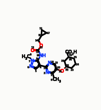 Cc1nc(-c2cnn(C)c2NC(=O)OCC2CC2)ncc1O[C@H]1CCC[C@H](C(=O)O)C1